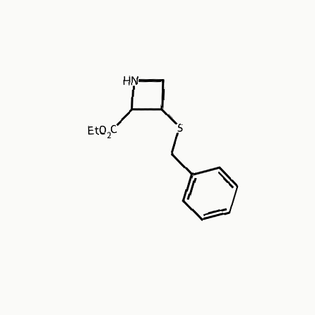 CCOC(=O)C1NCC1SCc1ccccc1